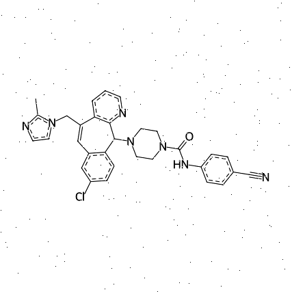 Cc1nccn1CC1=Cc2cc(Cl)ccc2C(N2CCN(C(=O)Nc3ccc(C#N)cc3)CC2)c2ncccc21